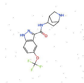 O=C(NC1CC2CC1CN2)c1n[nH]c2ccc(OC(F)(F)F)cc12